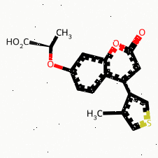 Cc1cscc1-c1cc(=O)oc2cc(O[C@H](C)C(=O)O)ccc12